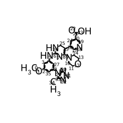 COc1cc(NC2=NC(N3CCOCC3)=C(c3cncc(C(=O)O)c3)CN2)cc(-n2nnnc2C)c1